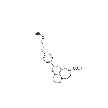 CCCCOCCOc1ccc(-c2cc3c4c(c2)CCCN4CCC(C(=O)O)=C3)cc1